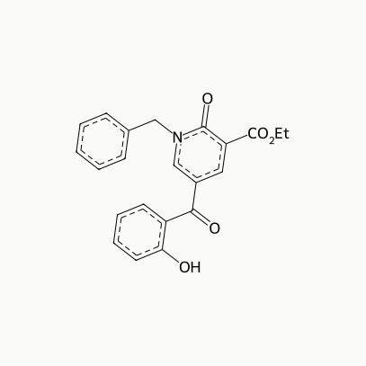 CCOC(=O)c1cc(C(=O)c2ccccc2O)cn(Cc2ccccc2)c1=O